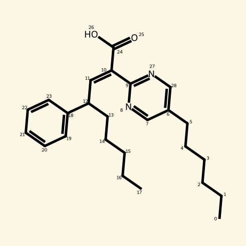 CCCCCCc1cnc(/C(=C\C(CCCCC)c2ccccc2)C(=O)O)nc1